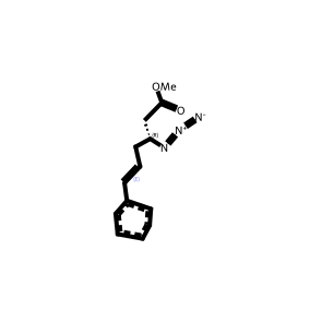 COC(=O)C[C@@H](C/C=C/c1ccccc1)N=[N+]=[N-]